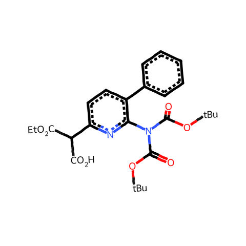 CCOC(=O)C(C(=O)O)c1ccc(-c2ccccc2)c(N(C(=O)OC(C)(C)C)C(=O)OC(C)(C)C)n1